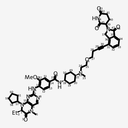 CC[C@@H]1C(=O)N(C)c2cnc(Nc3ccc(C(=O)N[C@H]4CC[C@H](N(C)CCOCCC#Cc5cccc6c5CN(C5CCC(=O)NC5=O)C6=O)CC4)cc3OC)nc2N1C1CCCC1